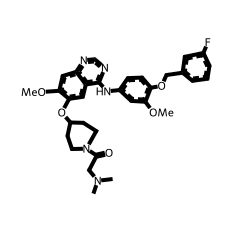 COc1cc(Nc2ncnc3cc(OC)c(OC4CCN(C(=O)CN(C)C)CC4)cc23)ccc1OCc1cccc(F)c1